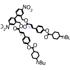 CCCCC1CCC(C(=O)Oc2ccc(/C=C/C(=O)OCc3cc([N+](=O)[O-])ccc3-c3ccc([N+](=O)[O-])cc3COC(=O)/C=C/c3ccc(OC(=O)C4CCC(CCCC)CC4)cc3)cc2)CC1